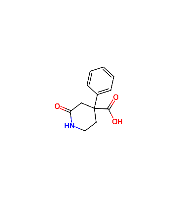 O=C1CC(C(=O)O)(c2ccccc2)CCN1